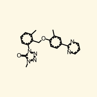 Cc1cc(-c2ncccn2)ccc1OCc1c(C)cccc1-n1nnn(C)c1=O